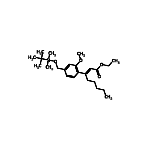 CCCCCC(=CC(=O)OCC)c1ccc(CO[Si](C)(C)C(C)(C)C)cc1OC